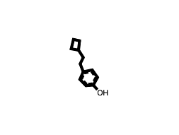 Oc1ccc(CCC2CCC2)cc1